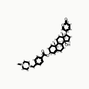 CN1CCN(Cc2ccc(C(=O)O[C@@H]3C=C4CCC5C(CC[C@]6(C)[C@@H](c7ccc(=O)oc7)CC[C@]56O)[C@@]4(C)CC3)cc2)CC1